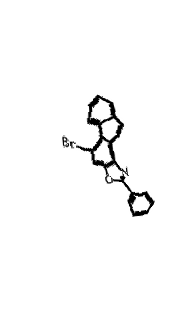 Brc1cc2oc(-c3ccccc3)nc2c2ccc3ccccc3c12